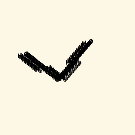 N.N.N.N.N.N.N.N.N.N.N.N.N.N.N.N.N.N.N.N.O.O.O.O.O.O.O.O.O.O.O.O.O.O.O.O.O.O.O.O.O.O.O.O.O